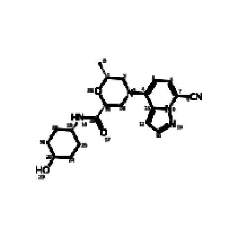 C[C@@H]1CN(c2ccc(C#N)n3nccc23)C[C@H](C(=O)N[C@H]2CC[C@H](O)CC2)O1